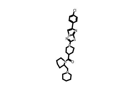 O=C(C1CCN(c2nn3cc(-c4ccc(Cl)cc4)nc3s2)CC1)N1CCCCC1CN1CCCCC1